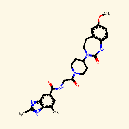 COc1ccc2c(c1)CCN(C1CCN(C(=O)CNC(=O)c3cc(C)c4[nH]c(C)nc4c3)CC1)C(=O)N2